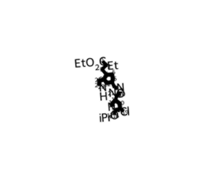 CCOC(=O)C(CC)Cc1ccc(-c2noc(-c3cnc(OC(C)C)c(Cl)c3)n2)c2[nH]ccc12